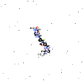 COC(=O)N[C@H](C(=O)N1CCC[C@H]1c1ncc(-c2ccc3c(c2)c(F)c2n3C(C)Oc3cc(-c4cnc([C@@H]5CCCN5C(=O)[C@H](C(C)C)N(C)C(=O)O)[nH]4)ccc3-2)[nH]1)C(C)C